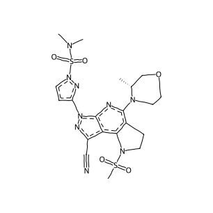 C[C@@H]1COCCN1c1nc2c(c(C#N)nn2-c2ccn(S(=O)(=O)N(C)C)n2)c2c1CCN2S(C)(=O)=O